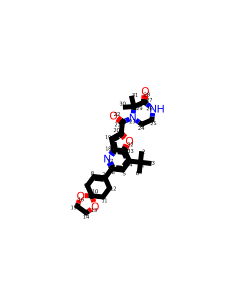 CC(C)(C)c1cc(C2=CCC3(CC2)OCCO3)nc2cc(C(=O)N3CCNC(=O)C3(C)C)oc12